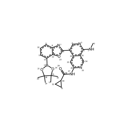 CNc1ncc(-c2nc3cccc(B4OC(C)(C)C(C)(C)O4)c3o2)c2cc(NC(=O)C3CC3)ncc12